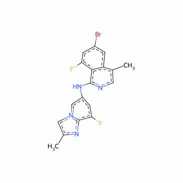 Cc1cn2cc(Nc3ncc(C)c4cc(Br)cc(F)c34)cc(F)c2n1